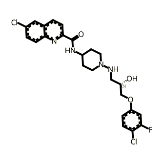 O=C(NC1CCN(NC[C@H](O)COc2ccc(Cl)c(F)c2)CC1)c1ccc2cc(Cl)ccc2n1